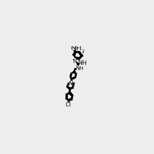 Nc1ccc2[nH]c(NCc3ccc(N4CCC(c5ccc(Cl)cc5)CC4)cc3)nc2c1